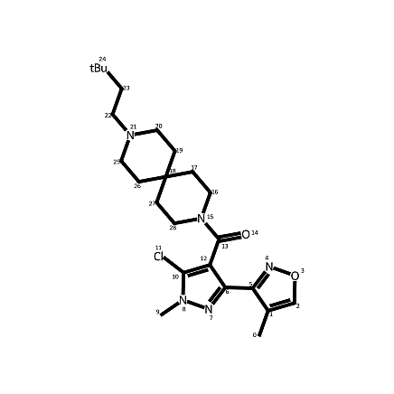 Cc1conc1-c1nn(C)c(Cl)c1C(=O)N1CCC2(CCN(CCC(C)(C)C)CC2)CC1